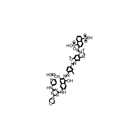 CO/C=N\c1cc(N=Nc2ccc(N=Nc3c(SOOO)cc4cc(Nc5nc(Nc6cccnc6)nc(N6CCOCC6)n5)ccc4c3O)c(C)c2)c(OC)cc1N=Nc1ccc2c(S(=O)(=O)O)cccc2c1S(=O)(=O)O